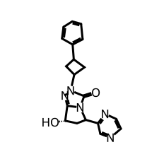 O=c1n(C2CC(c3ccccc3)C2)nc2n1C(c1cnccn1)C[C@@H]2O